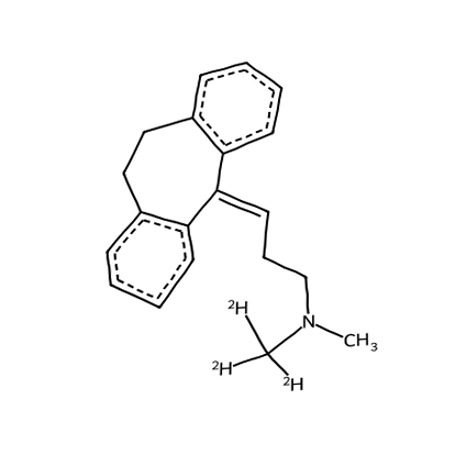 [2H]C([2H])([2H])N(C)CCC=C1c2ccccc2CCc2ccccc21